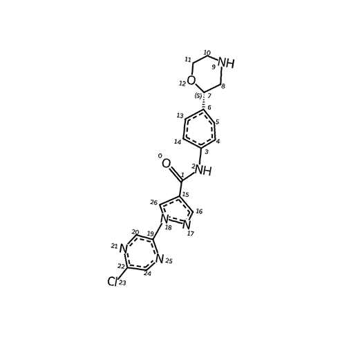 O=C(Nc1ccc([C@H]2CNCCO2)cc1)c1cnn(-c2cnc(Cl)cn2)c1